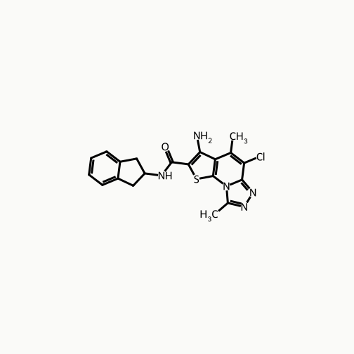 Cc1c(Cl)c2nnc(C)n2c2sc(C(=O)NC3Cc4ccccc4C3)c(N)c12